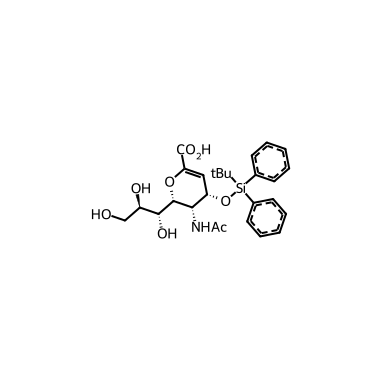 CC(=O)N[C@@H]1[C@H]([C@H](O)[C@H](O)CO)OC(C(=O)O)=C[C@@H]1O[Si](c1ccccc1)(c1ccccc1)C(C)(C)C